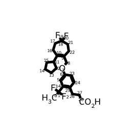 CC(F)(F)c1cc(OCC2=C(C3CCCC3)CCC(F)(F)CC2)ccc1CCC(=O)O